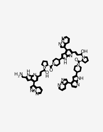 NCc1cc2c(-c3cnn4ncccc34)cc(/C=C/C(O)N3CCC[C@@H]3C(=O)N3CCC(c4cc5c(-c6cnn7ncccc67)cc(/C=C/C(O)N6CCC[C@H]6C(=O)N6CCC(c7cc8c(-c9cnn%10ncccc9%10)ccnc8[nH]7)CC6)nc5[nH]4)CC3)nc2[nH]1